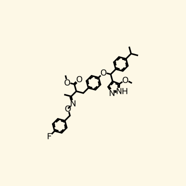 COC(=O)C(Cc1ccc(OC(c2ccc(C(C)C)cc2)c2cn[nH]c2OC)cc1)C(C)=NOCc1ccc(F)cc1